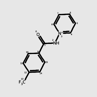 O=C(N[n+]1ccccc1)c1ccc(C(F)(F)F)cc1